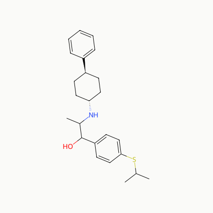 CC(C)Sc1ccc(C(O)C(C)N[C@H]2CC[C@H](c3ccccc3)CC2)cc1